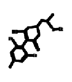 CCSC(C)CC1CC(=O)C(c2c(CC)cc(C)cc2CC)=C(O)C1